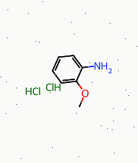 COc1ccccc1N.Cl.Cl